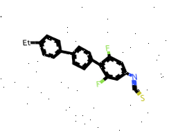 CCc1ccc(-c2ccc(-c3c(F)cc(N=C=S)cc3F)cc2)cc1